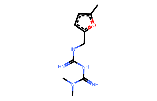 Cc1ccc(CNC(=N)NC(=N)N(C)C)o1